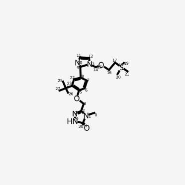 Cn1c(COc2ccc(-c3nccn3COCCS(C)(C)C)cc2C(C)(C)C)n[nH]c1=O